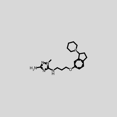 Cn1nc(N)nc1NCCCOc1ccc2c(c1)C(N1CCCCC1)CC2